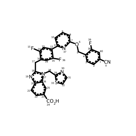 N#Cc1ccc(COc2cccc(-c3cc(F)c(Cc4nc5ccc(C(=O)O)cc5n4Cc4nccs4)cc3F)n2)c(F)c1